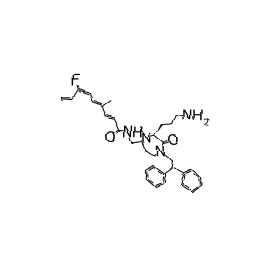 C=C\C(F)=C/C=C(C)/C=C/C(=O)NC[C@@H]1CCN(CC(c2ccccc2)c2ccccc2)C(=O)[C@H](CCCN)N1C